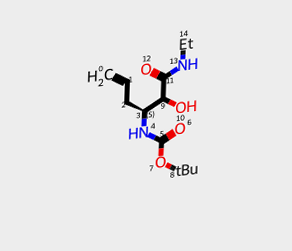 C=CC[C@H](NC(=O)OC(C)(C)C)C(O)C(=O)NCC